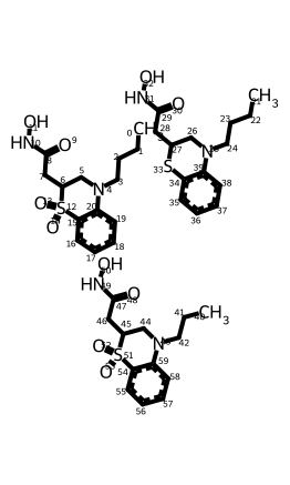 CCCCN1CC(CC(=O)NO)S(=O)(=O)c2ccccc21.CCCCN1CC(CC(=O)NO)Sc2ccccc21.CCCN1CC(CC(=O)NO)S(=O)(=O)c2ccccc21